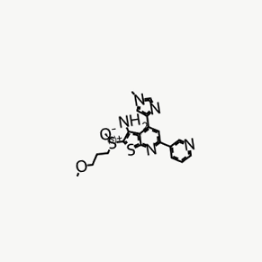 COCCC[S@@+]([O-])c1sc2nc(-c3cccnc3)cc(-c3cn(C)cn3)c2c1N